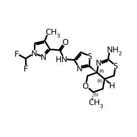 Cc1cn(C(F)F)nc1C(=O)Nc1csc([C@]23CO[C@@H](C)C[C@H]2CSC(N)=N3)n1